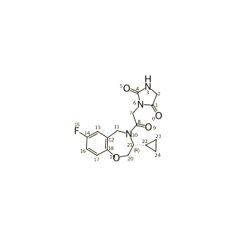 O=C1CNC(=O)N1CC(=O)N1Cc2cc(F)ccc2OC[C@H]1C1CC1